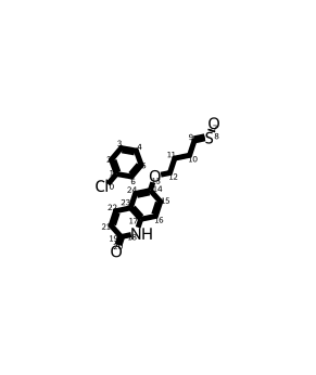 Clc1ccccc1.O=S=CCCCOc1ccc2[nH]c(=O)ccc2c1